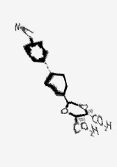 N#Cc1ccc([C@H]2CC[C@H](C3O[C@H](C(=O)O)[C@@H](C(=O)O)O3)CC2)cc1